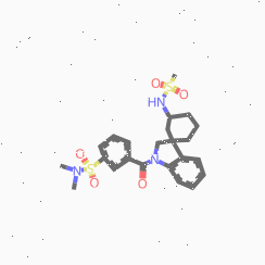 CN(C)S(=O)(=O)c1cccc(C(=O)N2CC3(CCCC(NS(C)(=O)=O)C3)c3ccccc32)c1